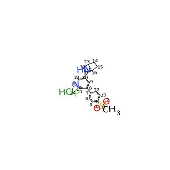 CS(=O)(=O)c1ccc(-c2cc(C3CC4CCC3N4)cnc2F)cc1.Cl